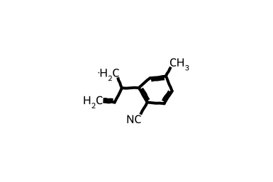 [CH2]C(C=C)c1cc(C)ccc1C#N